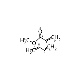 C=CC(=O)OC.C=CC=C